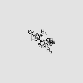 Cc1nc(NC=O)sc1-c1ccnc(C(C)(C)C(F)(F)F)c1